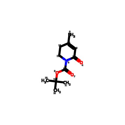 BC1=CC(=O)N(C(=O)OC(C)(C)C)CC1